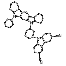 N#Cc1ccc2c(c1)c1cc(C#N)ccc1n2-c1cccc(-n2c3ccccc3c3cc4c5ccccc5n(-c5ccccc5)c4cc32)c1